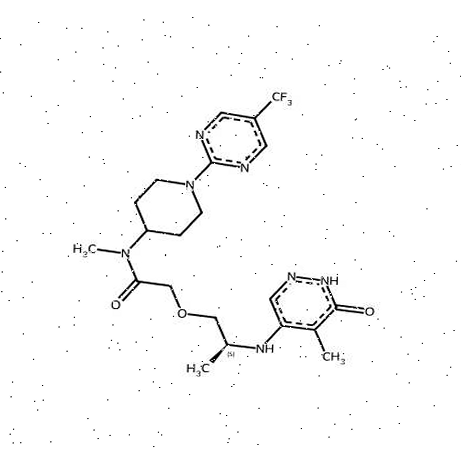 Cc1c(N[C@@H](C)COCC(=O)N(C)C2CCN(c3ncc(C(F)(F)F)cn3)CC2)cn[nH]c1=O